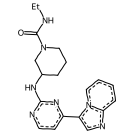 CCNC(=O)N1CCCC(Nc2nccc(-c3cnc4ccccn34)n2)C1